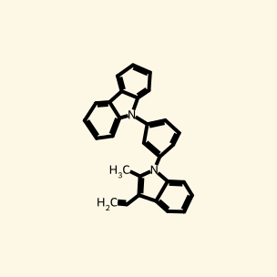 C=Cc1c(C)n(-c2cccc(-n3c4ccccc4c4ccccc43)c2)c2ccccc12